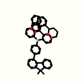 CC1(C)c2ccccc2-c2c(-c3ccc(N(c4ccccc4-c4cccc5cccc(C6CCCCC6)c45)c4cccc5c4sc4ccccc45)cc3)cccc21